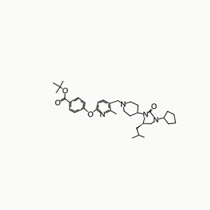 Cc1nc(Oc2ccc(C(=O)OC(C)(C)C)cc2)ccc1CN1CCC(N2C(=O)N(C3CCCC3)C[C@H]2CC(C)C)CC1